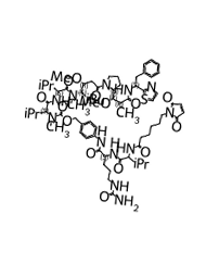 CC[C@H](C)[C@@H]([C@@H](CC(=O)N1CCC[C@H]1[C@H](OC)[C@@H](C)C(=O)N[C@@H](Cc1ccccc1)c1nccs1)OC)N(C)C(=O)[C@@H](NC(=O)[C@H](C(C)C)N(C)C(=O)OCc1ccc(NC(=O)[C@H](CCCNC(N)=O)NC(=O)C(NC(=O)CCCCCN2C(=O)C=CC2=O)C(C)C)cc1)C(C)C